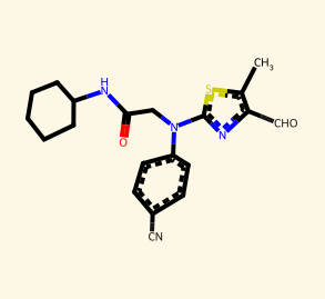 Cc1sc(N(CC(=O)NC2CCCCC2)c2ccc(C#N)cc2)nc1C=O